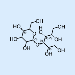 OCC1O[C@@H](O[C@@H]([C@H](O)[C@@H](O)CO)[C@H](O)CO)C(O)C(O)[C@H]1O